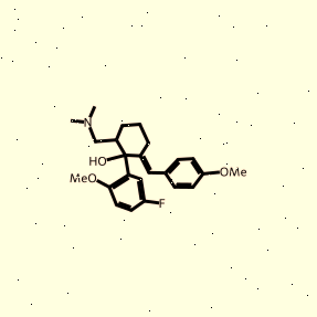 COc1ccc(C=C2CCCC(CN(C)C)C2(O)c2cc(F)ccc2OC)cc1